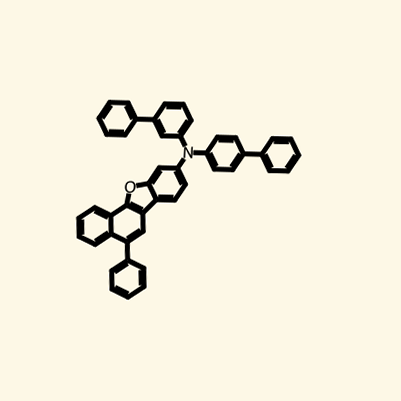 c1ccc(-c2ccc(N(c3cccc(-c4ccccc4)c3)c3ccc4c(c3)oc3c5ccccc5c(-c5ccccc5)cc43)cc2)cc1